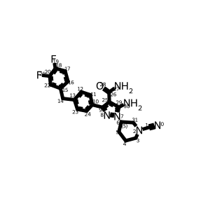 N#CN1CCC[C@H](n2nc(-c3ccc(Cc4ccc(F)c(F)c4)cc3)c(C(N)=O)c2N)C1